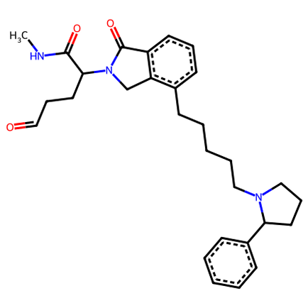 CNC(=O)C(CCC=O)N1Cc2c(CCCCCN3CCCC3c3ccccc3)cccc2C1=O